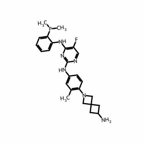 Cc1cc(Nc2ncc(F)c(Nc3ccccc3P(C)C)n2)ccc1N1CC2(CC(N)C2)C1